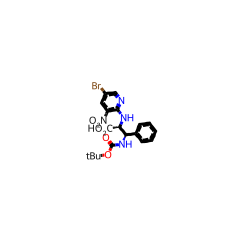 CC(C)(C)OC(=O)N[C@H](c1ccccc1)[C@H](Nc1ncc(Br)cc1[N+](=O)[O-])C(=O)O